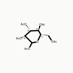 CC(=O)OC[C@@H]1OC(OC(C)=O)[C@H](OC(C)=O)[C@H](OC(C)=O)[C@H]1OC(C)=O